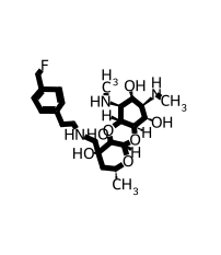 CN[C@@H]1[C@H](O)[C@H](NC)[C@H]2O[C@]3(O)[C@H](O[C@@H]2[C@H]1O)O[C@H](C)C[C@@]3(O)CNCCc1ccc(CF)cc1